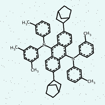 Cc1cccc(N(c2cccc(C)c2)c2c3ccc(C4CC5CCC4C5)cc3c(N(c3cccc(C)c3)c3cc(C)cc(C)c3)c3ccc(C4CC5CCC4C5)cc23)c1